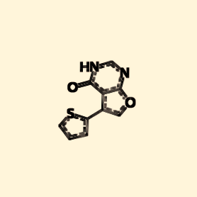 O=c1[nH]cnc2occ(-c3cccs3)c12